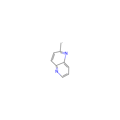 [CH2]c1ccc2ncccc2n1